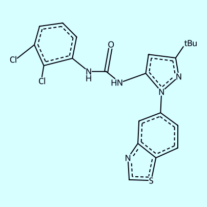 CC(C)(C)c1cc(NC(=O)Nc2cccc(Cl)c2Cl)n(-c2ccc3scnc3c2)n1